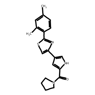 Cc1ccc(-c2nc(-c3c[nH]c(C(=O)N4CCCC4)c3)cs2)c(C)c1